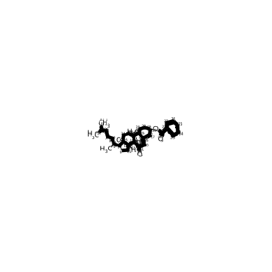 CC(C)CCC[C@@H](C)[C@H]1CC[C@H]2[C@@H]3C(=O)C=C4C[C@@H](OC(=O)c5ccccc5)CC[C@]4(C)[C@H]3CC[C@]12C